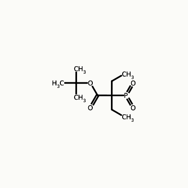 CCC(CC)(C(=O)OC(C)(C)C)P(=O)=O